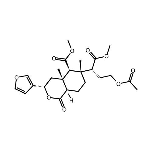 COC(=O)[C@H]1[C@](C)([C@@H](CCOC(C)=O)C(=O)OC)CC[C@H]2C(=O)O[C@H](c3ccoc3)C[C@]12C